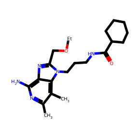 CCOCc1nc2c(N)nc(C)c(C)c2n1CCCNC(=O)C1CCCCC1